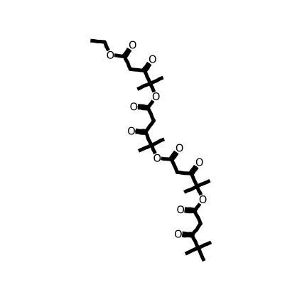 CCOC(=O)CC(=O)C(C)(C)OC(=O)CC(=O)C(C)(C)OC(=O)CC(=O)C(C)(C)OC(=O)CC(=O)C(C)(C)C